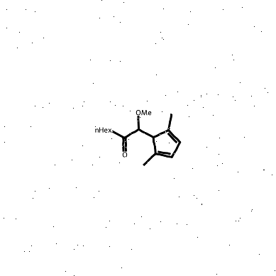 CCCCCCC(=O)C(OC)C1C(C)=CC=C1C